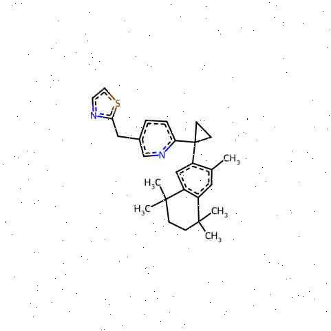 Cc1cc2c(cc1C1(c3ccc(Cc4nccs4)cn3)CC1)C(C)(C)CCC2(C)C